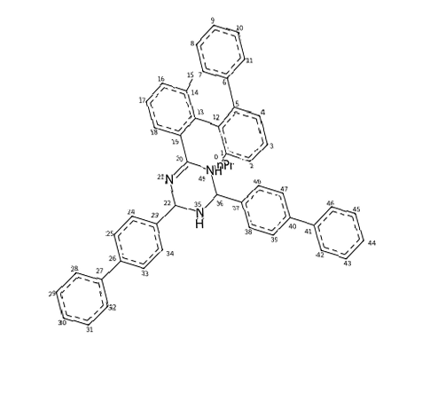 CCCc1cccc(-c2ccccc2)c1-c1c(C)cccc1C1=NC(c2ccc(-c3ccccc3)cc2)NC(c2ccc(-c3ccccc3)cc2)N1